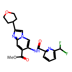 COC(=O)c1cc2nc(C3CCOCC3)cn2cc1NC(=O)c1cccc(C(F)F)n1